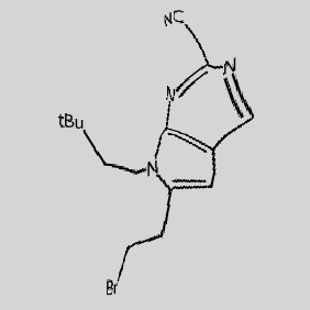 CC(C)(C)Cn1c(CCBr)cc2cnc(C#N)nc21